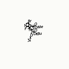 COC(=O)[C@@]1(C)SC(N(COCC[Si](C)(C)C)C(=O)OC(C)(C)C)=N[C@](C)(c2cc(Br)cnc2F)C1C